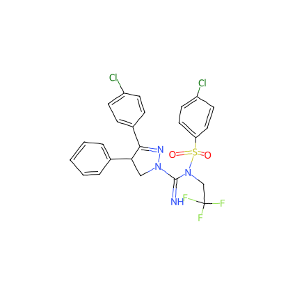 N=C(N1CC(c2ccccc2)C(c2ccc(Cl)cc2)=N1)N(CC(F)(F)F)S(=O)(=O)c1ccc(Cl)cc1